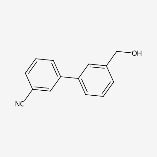 N#Cc1cccc(-c2cccc(CO)c2)c1